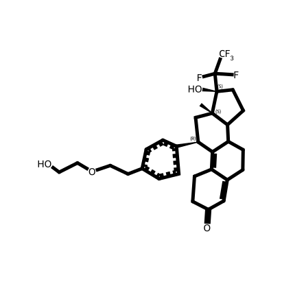 C[C@]12C[C@H](c3ccc(CCOCCO)cc3)C3=C4CCC(=O)C=C4CCC3C1CC[C@@]2(O)C(F)(F)C(F)(F)F